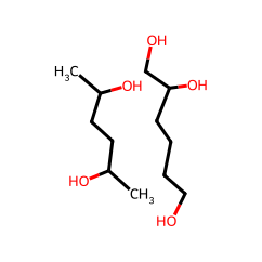 CC(O)CCC(C)O.OCCCCC(O)CO